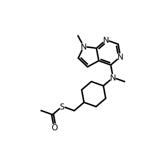 CC(=O)SCC1CCC(N(C)c2ncnc3c2ccn3C)CC1